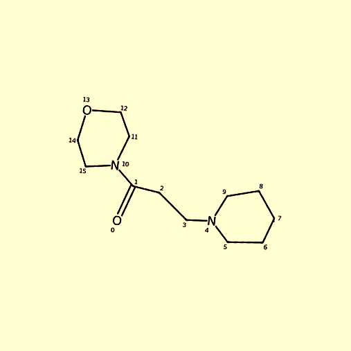 O=C(CCN1CC[CH]CC1)N1CCOCC1